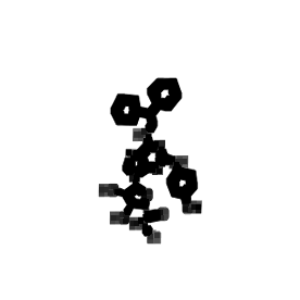 CCNC(=O)[C@H]1O[C@@H](n2cnc3c(NCC(c4ccccc4)c4ccccc4)nc(Nc4ccc(O)cc4)nc32)[C@H](O)[C@@H]1O